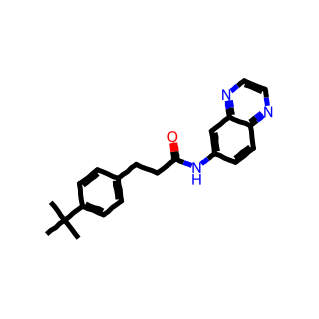 CC(C)(C)c1ccc(CCC(=O)Nc2ccc3nccnc3c2)cc1